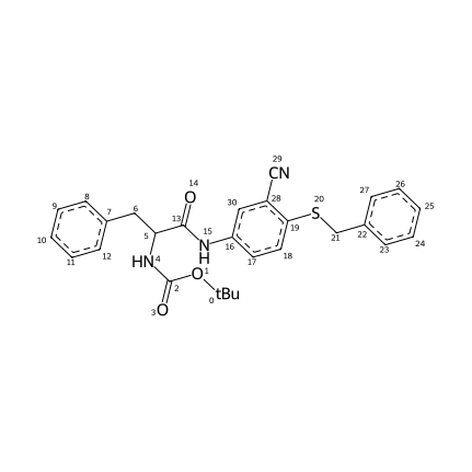 CC(C)(C)OC(=O)NC(Cc1ccccc1)C(=O)Nc1ccc(SCc2ccccc2)c(C#N)c1